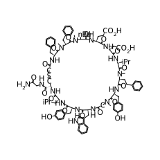 CCCCC1C(=O)N[C@@H](CCC(=O)O)C(=O)N[C@@H](CC(=O)O)C(=O)N[C@@H](C(C)C)C(=O)N(C)[C@@H](CCc2ccccc2)C(=O)N[C@@H](Cc2ccc(O)cc2)C(=O)N(C)CC(=O)N[C@@H](Cc2c[nH]c3ccccc23)C(=O)N[C@@H](Cc2ccc(O)cc2)C(=O)N[C@@H](CC(C)C)C(=O)N[C@H](C(=O)NCC(N)=O)CSCC(=O)N[C@@H](Cc2ccccc2)C(=O)N(C)[C@@H](Cc2ccccc2)C(=O)N1C